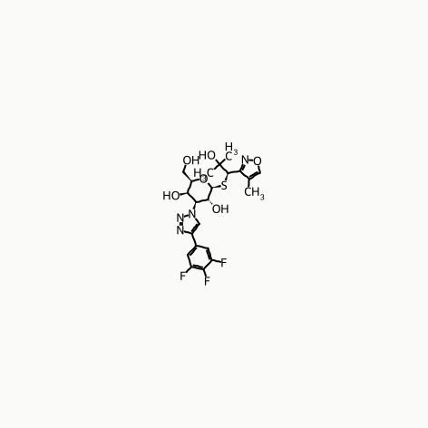 Cc1conc1[C@@H](S[C@@H]1O[C@H](CO)[C@H](O)[C@H](n2cc(-c3cc(F)c(F)c(F)c3)nn2)[C@H]1O)C(C)(C)O